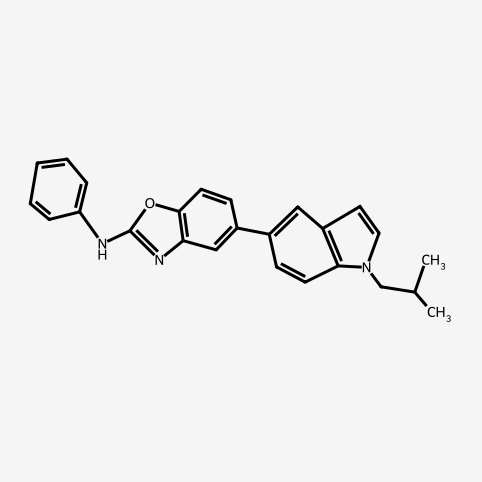 CC(C)Cn1ccc2cc(-c3ccc4oc(Nc5ccccc5)nc4c3)ccc21